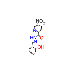 O=C(NN=Cc1ccccc1O)c1ccc([N+](=O)[O-])cn1